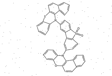 O=S1(=O)c2ccc(N3c4ccccc4Oc4ccc5ccccc5c43)cc2-c2cc(N3c4ccccc4Sc4ccc5ccccc5c43)ccc21